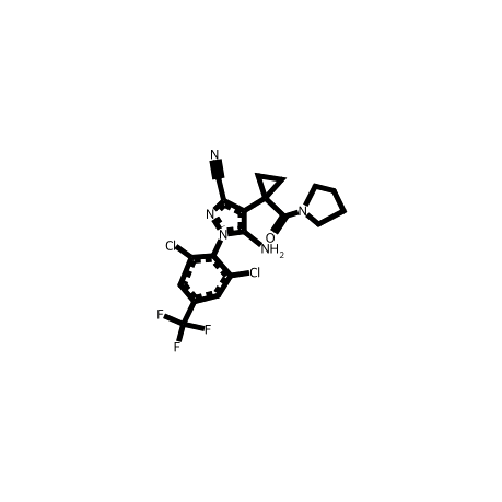 N#Cc1nn(-c2c(Cl)cc(C(F)(F)F)cc2Cl)c(N)c1C1(C(=O)N2CCCC2)CC1